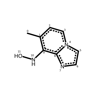 Cc1ccn2ccnc2c1NO